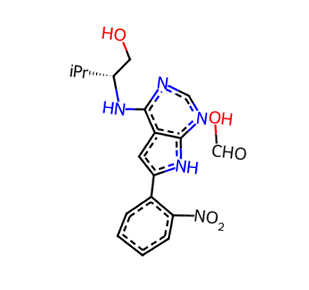 CC(C)[C@H](CO)Nc1ncnc2[nH]c(-c3ccccc3[N+](=O)[O-])cc12.O=CO